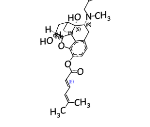 CC(C)=C/C=C/C(=O)Oc1ccc2c3c1O[C@H]1[C@@H](O)CC4C[C@]31[C@]4(O)[C@H](N(C)CC1CCC1)C2